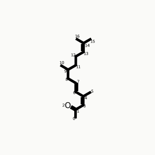 CC(=O)C=C(C)C=CCC(C)CCC=C(C)C